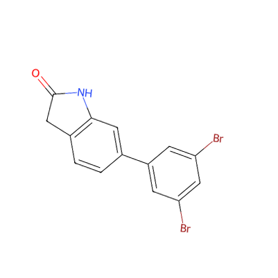 O=C1Cc2ccc(-c3cc(Br)cc(Br)c3)cc2N1